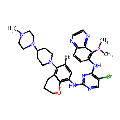 CCc1cc(Nc2ncc(Br)c(Nc3ccc4nccnc4c3P(C)C)n2)c2c(c1N1CCC(N3CCN(C)CC3)CC1)CCCO2